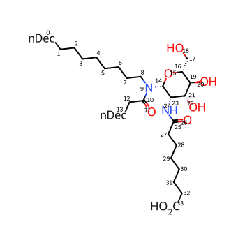 CCCCCCCCCCCCCCCCCCN(C(=O)CCCCCCCCCCC)[C@@H]1O[C@H](CO)[C@@H](O)[C@H](O)[C@@H]1NC(=O)CCCCCCC(=O)O